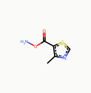 Cc1ncsc1C(=O)ON